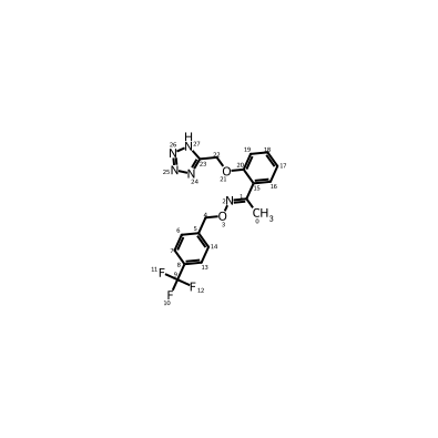 C/C(=N\OCc1ccc(C(F)(F)F)cc1)c1ccccc1OCc1nnn[nH]1